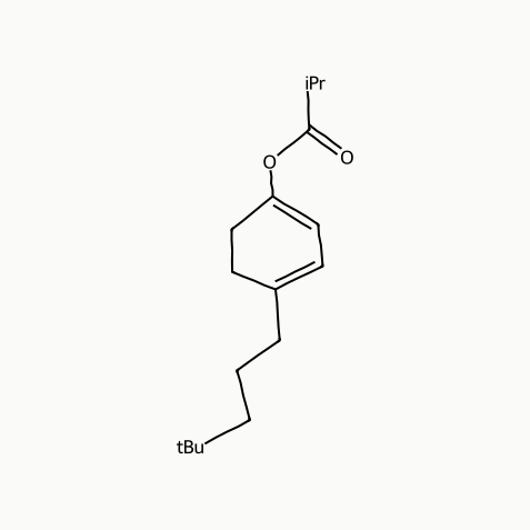 CC(C)C(=O)OC1=CC=C(CCCC(C)(C)C)CC1